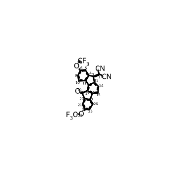 N#CC(C#N)=C1c2cc(OC(F)(F)F)ccc2-c2c1ccc1c2C(=O)c2cc(OC(F)(F)F)ccc2-1